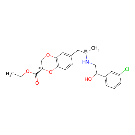 CCOC(=O)[C@H]1COc2cc(C[C@H](C)NCC(O)c3cccc(Cl)c3)ccc2O1